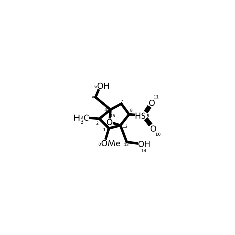 COC1C(C)C2(CO)CC([SH](=O)=O)C1(CO)O2